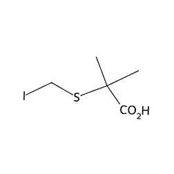 CC(C)(SCI)C(=O)O